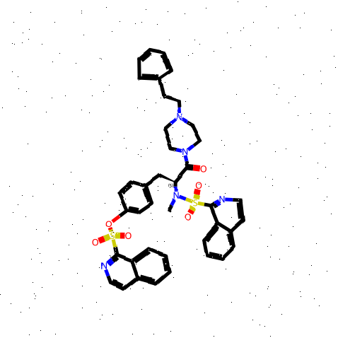 CN([C@@H](Cc1ccc(OS(=O)(=O)c2nccc3ccccc23)cc1)C(=O)N1CCN(CCc2ccccc2)CC1)S(=O)(=O)c1nccc2ccccc12